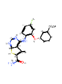 CO[C@H]1CCC[C@H](Oc2cc(F)ccc2Nc2ncnc3sc(C(N)=O)c(C)c23)C1